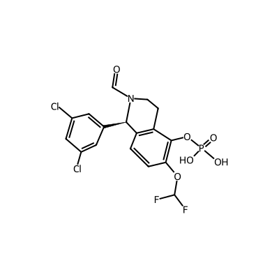 O=CN1CCc2c(ccc(OC(F)F)c2OP(=O)(O)O)[C@H]1c1cc(Cl)cc(Cl)c1